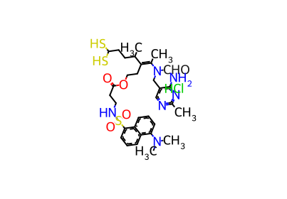 CC(=C(CCOC(=O)CCNS(=O)(=O)c1cccc2c(N(C)C)cccc12)C(C)CCC(S)S)N(C=O)Cc1cnc(C)nc1N.Cl